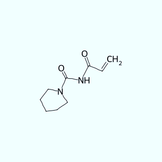 C=CC(=O)NC(=O)N1CCCCC1